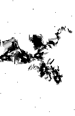 COCCOCCOCCN(CC(C)(C)S)c1cc(COc2cc3c(cc2OC)C(=O)N2c4ccccc4C[C@H]2CN3)cc(COc2cc3c(cc2OC)C(=O)N2c4ccccc4C[C@H]2C(S(=O)(=O)OC)N3)c1